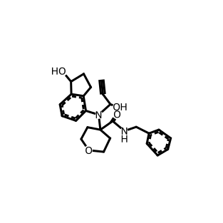 C#CC(O)N(c1cccc2c1CCC2O)C1(C(=O)NCc2ccccc2)CCOCC1